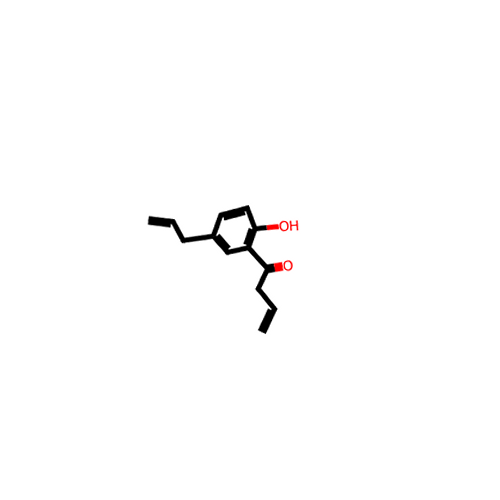 C=CCC(=O)c1cc(CC=C)ccc1O